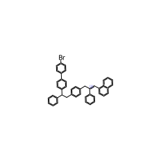 Brc1ccc(-c2ccc(C(Cc3ccc(C/C(=C/c4cccc5ccccc45)c4ccccc4)cc3)c3ccccc3)cc2)cc1